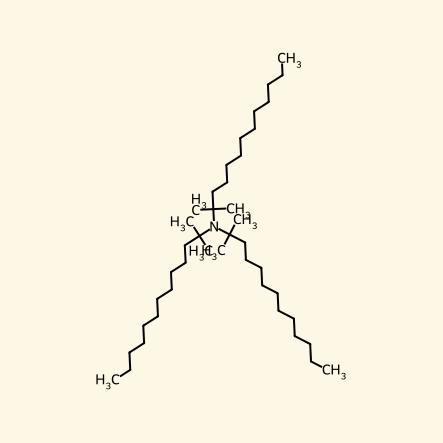 CCCCCCCCCCCC(C)(C)N(C(C)(C)CCCCCCCCCCC)C(C)(C)CCCCCCCCCCC